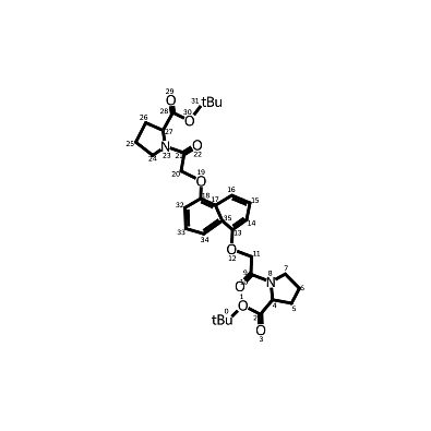 CC(C)(C)OC(=O)C1CCCN1C(=O)COc1cccc2c(OCC(=O)N3CCCC3C(=O)OC(C)(C)C)cccc12